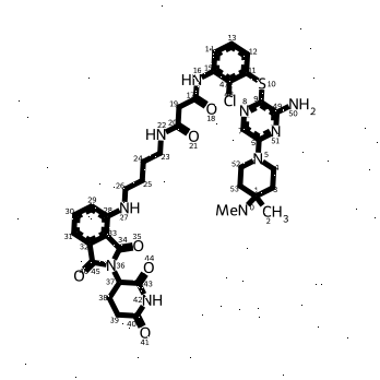 CNC1(C)CCN(c2cnc(Sc3cccc(NC(=O)CC(=O)NCCCCNc4cccc5c4C(=O)N(C4CCC(=O)NC4=O)C5=O)c3Cl)c(N)n2)CC1